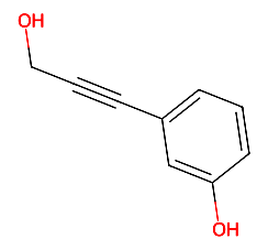 OCC#Cc1cccc(O)c1